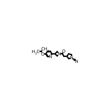 CC(C)Oc1ccc(C2CN(C(=O)CC3CCN(C#N)C3)C2)nc1